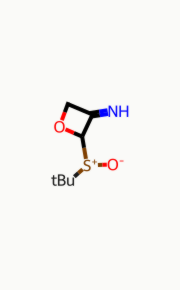 CC(C)(C)[S+]([O-])C1OCC1=N